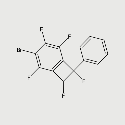 Fc1c(F)c2c(c(F)c1Br)C(F)C2(F)c1ccccc1